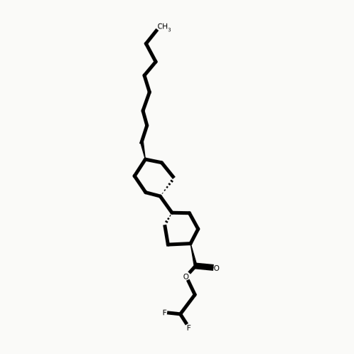 CCCCCCCC[C@H]1CC[C@H]([C@H]2CC[C@H](C(=O)OCC(F)F)CC2)CC1